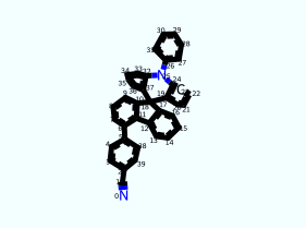 N#Cc1ccc(-c2cccc3c2-c2ccccc2C32c3ccccc3N(c3ccccc3)c3ccccc32)cc1